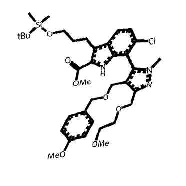 COCCOCc1nn(C)c(-c2c(Cl)ccc3c(CCCO[Si](C)(C)C(C)(C)C)c(C(=O)OC)[nH]c23)c1COCc1ccc(OC)cc1